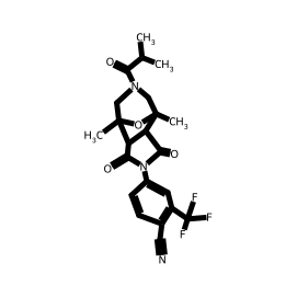 CC(C)C(=O)N1CC2(C)OC(C)(C1)C1C(=O)N(c3ccc(C#N)c(C(F)(F)F)c3)C(=O)C12